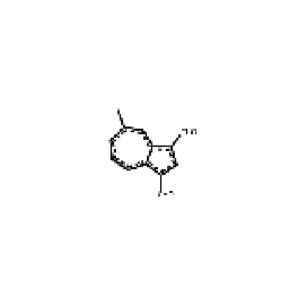 Cc1cccc2c(C=O)cc(C=O)c-2c1